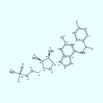 Cc1ccc(C(C)Nc2nc(Cl)nc3c2ccn3[C@@H]2O[C@H](COOP(C)(=O)O)[C@@H](O)[C@H]2O)cc1